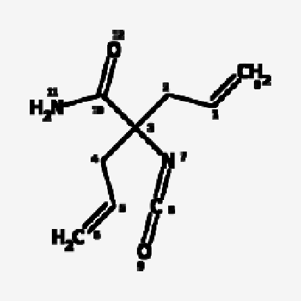 C=CCC(CC=C)(N=C=O)C(N)=O